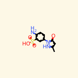 Cc1cc(=O)n(-c2ccc(N)c(S(=O)(=O)O)c2)[nH]1